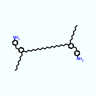 CCCCCCCCc1cc(Cc2ccc(N)cc2)ccc1CCCCCCCCCCCCCCCCCCc1ccc(Cc2ccc(N)cc2)cc1CCCCCCCC